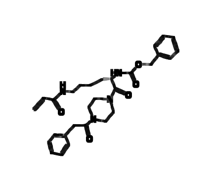 C=CC(=O)NCCCC[C@H](NC(=O)OCc1ccccc1)C(=O)N1CCN(C(=O)Cc2ccccc2)CC1